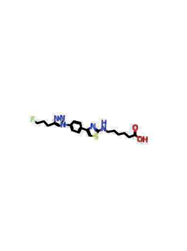 O=C(O)CCCCCNc1nc(-c2ccc(-n3cc(CCCF)nn3)cc2)cs1